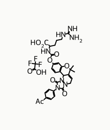 CC(=O)c1ccc(-n2c(=O)n3n(c2=O)C2C(=CC3)C(C)(C)Oc3cc(OC(=O)NC(CCCNC(=N)N)C(=O)O)ccc32)cc1.O=C(O)C(F)(F)F